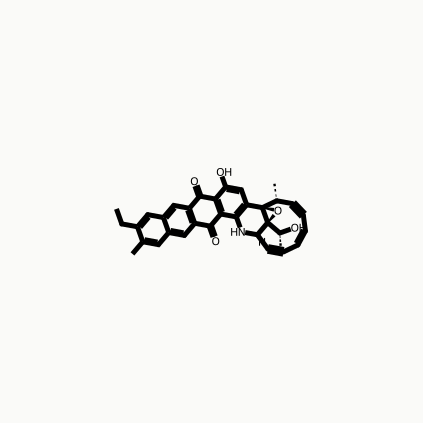 CCc1cc2cc3c(cc2cc1C)C(=O)c1c2c(cc(O)c1C3=O)[C@@]13O[C@@]1([C@@H](C)O)[C@H](C#C/C=C\C#C[C@H]3C)N2